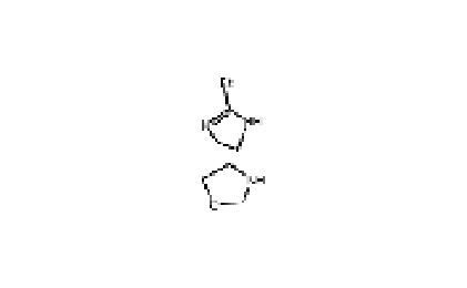 C1COCN1.CCC1=NCCN1